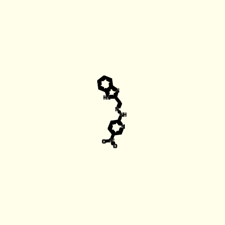 O=[N+]([O-])c1ccc(NN=Cc2nc3ccccc3[nH]2)nc1